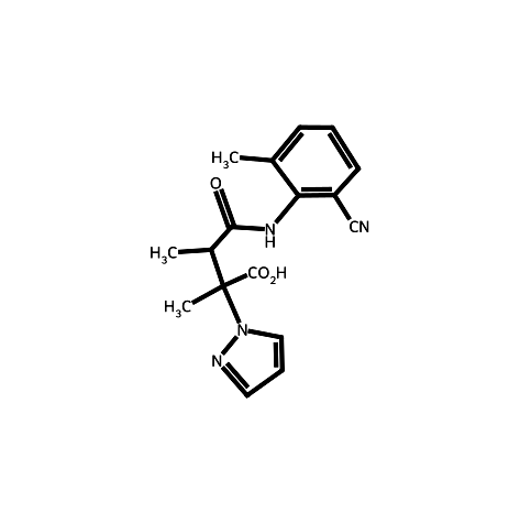 Cc1cccc(C#N)c1NC(=O)C(C)C(C)(C(=O)O)n1cccn1